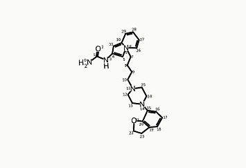 NC(=O)NC1=C[N+]2(CCCCN3CCN(c4cccc5c4OCC5)CC3)C=CC=CC2=C1